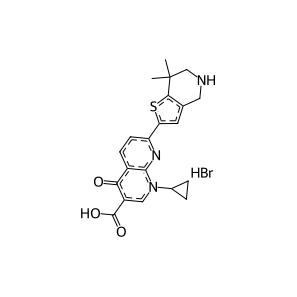 Br.CC1(C)CNCc2cc(-c3ccc4c(=O)c(C(=O)O)cn(C5CC5)c4n3)sc21